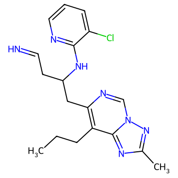 CCCc1c(CC(CC=N)Nc2ncccc2Cl)ncn2nc(C)nc12